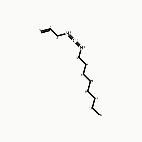 C=CCN=C=NCCCCCCCC